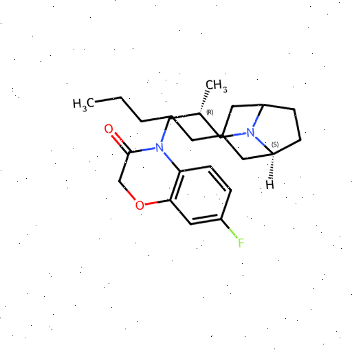 CCCCCC1CC2CC[C@@H](C1)N2C[C@@H](C)CN1C(=O)COc2cc(F)ccc21